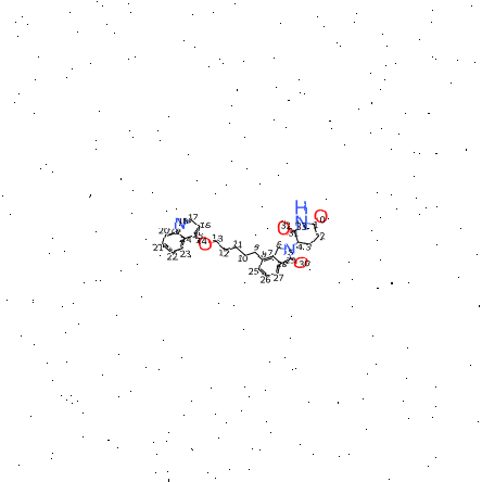 O=C1CCC(N2Cc3c(CCCCCOc4ccnc5ccccc45)cccc3C2=O)C(=O)N1